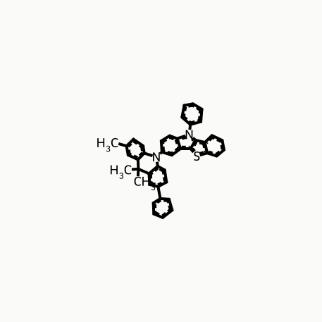 Cc1ccc2c(c1)C(C)(C)c1cc(-c3ccccc3)ccc1N2c1ccc2c(c1)c1sc3ccccc3c1n2-c1ccccc1